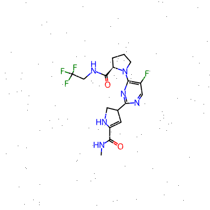 CNC(=O)C1=CC(c2ncc(F)c(N3CCC[C@@H]3C(=O)NCC(F)(F)F)n2)CN1